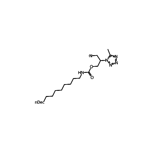 CCCCCCCCCCCCCCCCCCNC(=O)OCC(C[N])n1nnnc1C